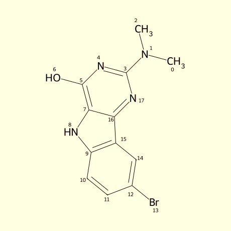 CN(C)c1nc(O)c2[nH]c3ccc(Br)cc3c2n1